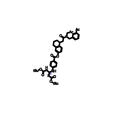 CC(=O)CN(Cc1cccc(C(C)=O)c1)C(=O)CC1CCCc2cc(OC(=O)c3ccc(N/C(=N\C(=O)OC(C)(C)C)NC(=O)OC(C)(C)C)cc3)ccc21